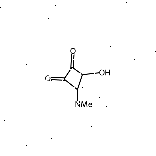 CNC1C(=O)C(=O)C1O